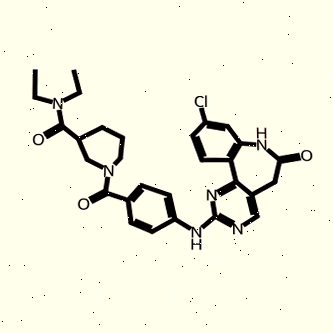 CCN(CC)C(=O)C1CCCN(C(=O)c2ccc(Nc3ncc4c(n3)-c3ccc(Cl)cc3NC(=O)C4)cc2)C1